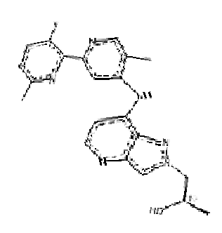 Cc1ccc(F)c(-c2cc(Nc3ccnc4cn(C[C@@H](C)O)nc34)c(C)cn2)n1